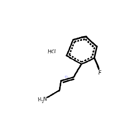 Cl.NC/C=C/c1ccccc1F